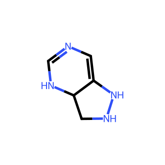 C1=NC=C2NNCC2N1